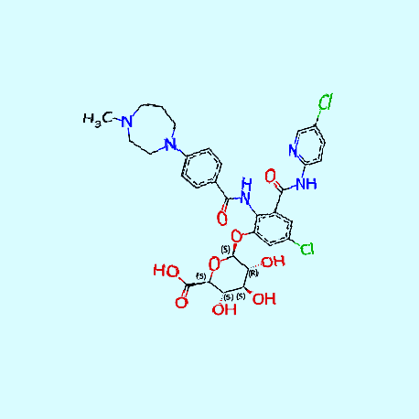 CN1CCCN(c2ccc(C(=O)Nc3c(O[C@@H]4O[C@H](C(=O)O)[C@@H](O)[C@H](O)[C@H]4O)cc(Cl)cc3C(=O)Nc3ccc(Cl)cn3)cc2)CC1